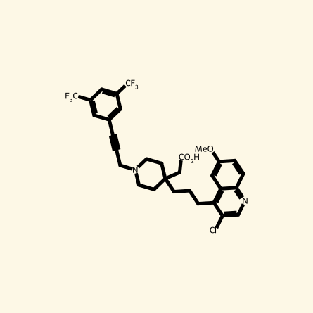 COc1ccc2ncc(Cl)c(CCCC3(CC(=O)O)CCN(CC#Cc4cc(C(F)(F)F)cc(C(F)(F)F)c4)CC3)c2c1